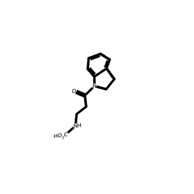 O=C(O)NCCC(=O)N1CCc2ccccc21